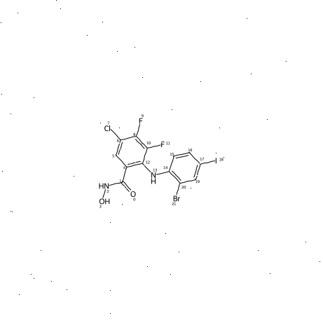 O=C(NO)c1cc(Cl)c(F)c(F)c1Nc1ccc(I)cc1Br